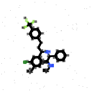 C=C(NC)[C@H](N[C@H](CCc1ccc(C(F)(F)F)cc1)c1ccc(C)c(Cl)c1)c1ccccc1